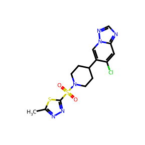 Cc1nnc(S(=O)(=O)N2CCC(c3cn4ncnc4cc3Cl)CC2)s1